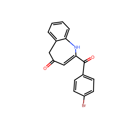 O=C1C=C(C(=O)c2ccc(Br)cc2)Nc2ccccc2C1